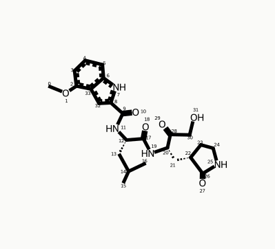 COc1cccc2[nH]c(C(=O)N[C@@H](CC(C)C)C(=O)N[C@@H](C[C@@H]3CCNC3=O)C(=O)CO)cc12